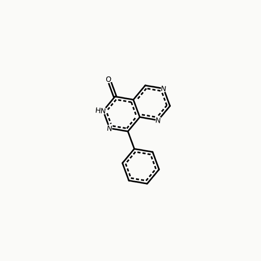 O=c1[nH]nc(-c2ccccc2)c2ncncc12